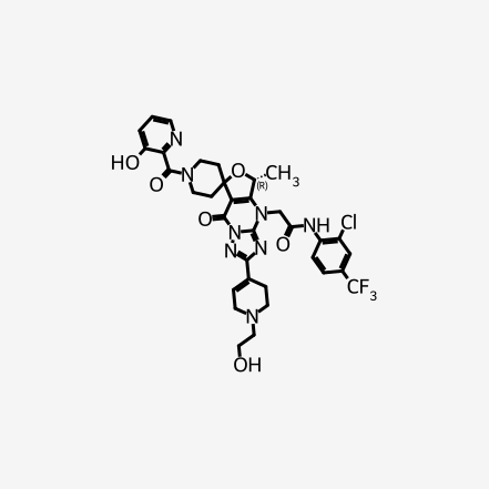 C[C@H]1OC2(CCN(C(=O)c3ncccc3O)CC2)c2c1n(CC(=O)Nc1ccc(C(F)(F)F)cc1Cl)c1nc(C3=CCN(CCO)CC3)nn1c2=O